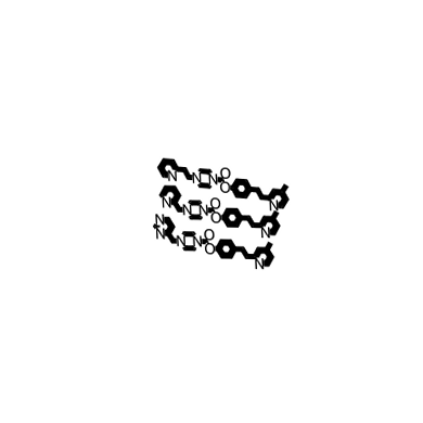 Cc1ccnc(CCc2ccc(OC(=O)N3CCN(CCc4ccccn4)CC3)cc2)c1.Cc1ccnc(CCc2ccc(OC(=O)N3CCN(Cc4ccccn4)CC3)cc2)c1.Cc1ccnc(CCc2ccc(OC(=O)N3CCN(Cc4ccncn4)CC3)cc2)c1